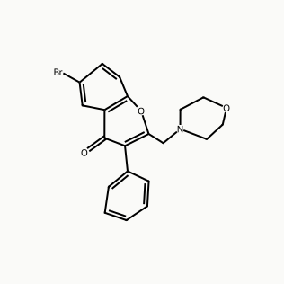 O=c1c(-c2ccccc2)c(CN2CCOCC2)oc2ccc(Br)cc12